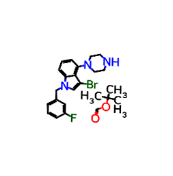 CC(C)(C)OC=O.Fc1cccc(Cn2cc(Br)c3c(N4CCNCC4)cccc32)c1